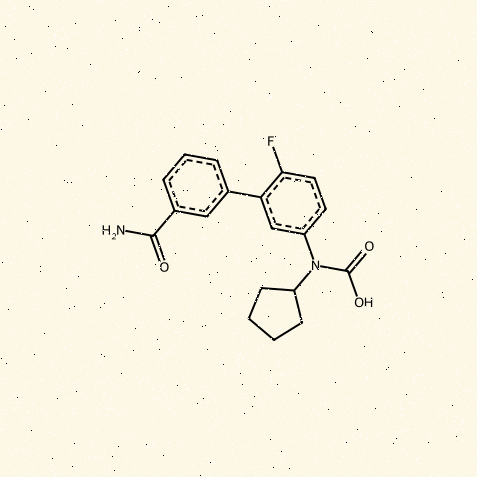 NC(=O)c1cccc(-c2cc(N(C(=O)O)C3CCCC3)ccc2F)c1